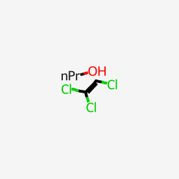 CCCO.ClC=C(Cl)Cl